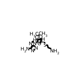 CC1(C)O[C@@H]2[C@H](O1)[C@@H](CSCCCN)O[C@H]2n1cnc2c(N)ncnc21